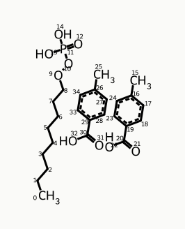 CCCCCCCCCOOP(=O)(O)O.Cc1ccc(C(=O)O)cc1.Cc1ccc(C(=O)O)cc1